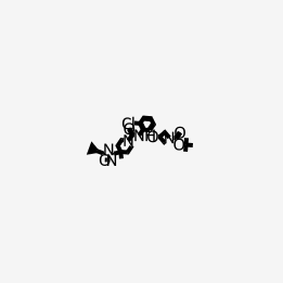 CC(C)(C)OC(=O)N1CC(Oc2cccc(Cl)c2NC(=O)N2CCC(C)(c3noc(C4CC4)n3)CC2)C1